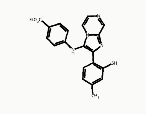 CCOC(=O)c1ccc(Nc2c(-c3ccc(C)cc3S)nc3cnccn23)cc1